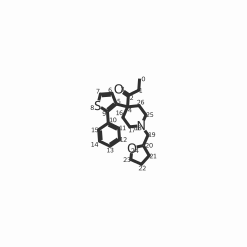 CCC(=O)C1(c2ccsc2-c2ccccc2)CCN(CC2CCCO2)CC1